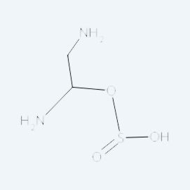 NCC(N)OS(=O)O